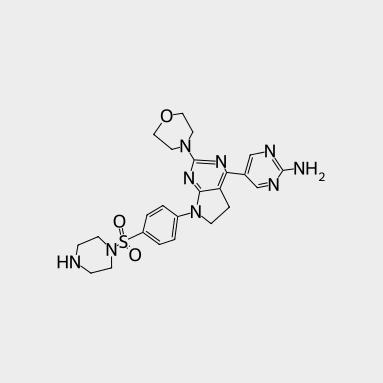 Nc1ncc(-c2nc(N3CCOCC3)nc3c2CCN3c2ccc(S(=O)(=O)N3CCNCC3)cc2)cn1